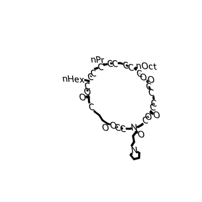 CCCCCCCCC1CCCCCC(CCC)CCCCC(CCCCCC)COC(=O)CCCCCC(=O)OCCCN(C(=O)CCCN2CCCC2)CCCOC(=O)CCCCCC(=O)OC1